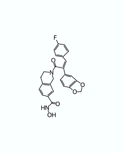 O=C(NO)c1ccc2c(c1)CN(C(=O)/C(=C\c1ccc(F)cc1)c1ccc3c(c1)OCO3)CC2